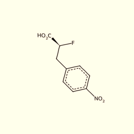 O=C(O)[C@@H](F)Cc1ccc([N+](=O)[O-])cc1